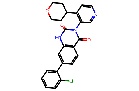 O=c1[nH]c2cc(-c3ccccc3Cl)ccc2c(=O)n1-c1cnccc1C1CCOCC1